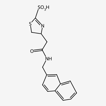 O=C(CC1CSC(S(=O)(=O)O)=N1)NCc1ccc2ccccc2c1